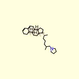 CC(CCCC(C)[C@H]1CC[C@H]2[C@@H]3CC=C4C=CCC[C@]4(C)[C@H]3CC[C@]12C)CN1CCCC1